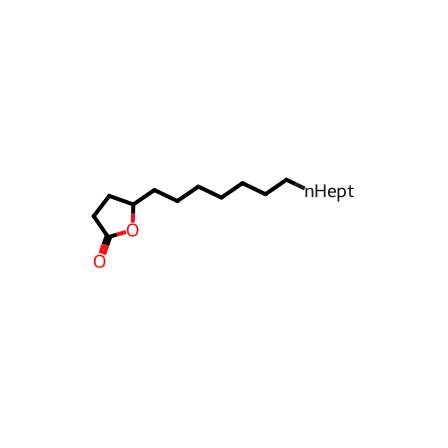 CCCCCCCCCCCCCCC1CCC(=O)O1